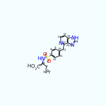 CC(C)C[C@H](NS(=O)(=O)c1ccc(Cc2nccc3[nH]cnc23)cc1)C(=O)O